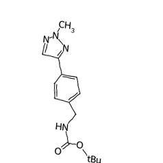 Cn1ncc(-c2ccc(CNC(=O)OC(C)(C)C)cc2)n1